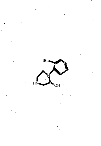 CC(C)(C)c1ccccc1N1CCNCC1O